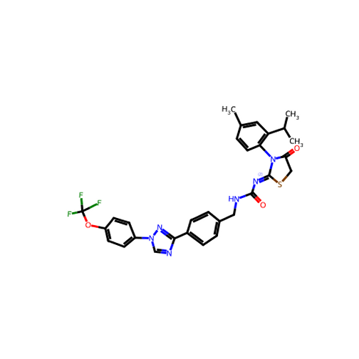 Cc1ccc(N2C(=O)CS/C2=N\C(=O)NCc2ccc(-c3ncn(-c4ccc(OC(F)(F)F)cc4)n3)cc2)c(C(C)C)c1